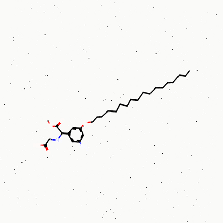 CCCCCCCCCCCCCCCCCCOc1cc(N)cc(C(NCC(=O)O)C(=O)OC)c1